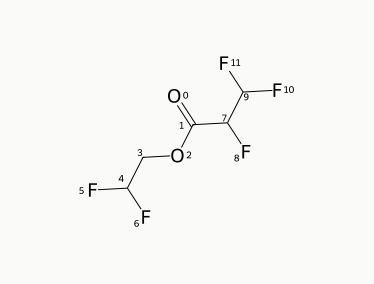 O=C(OCC(F)F)C(F)C(F)F